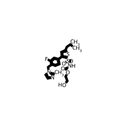 Cc1nccn1Cc1ccc(-c2cc(CC(C)C)sc2S(=O)(=O)NC(=O)OCCO)cc1F